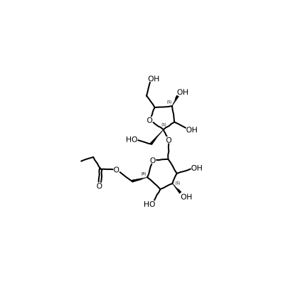 CCC(=O)OC[C@H]1OC(O[C@]2(CO)OC(CO)[C@@H](O)C2O)C(O)[C@@H](O)C1O